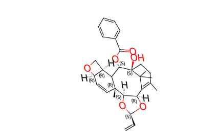 C=C[C@@H]1O[C@@H]2C3=C(C)CC[C@@](O)([C@@H](OC(=O)c4ccccc4)C4[C@@H]5CO[C@@H]5C=C[C@@]4(C)[C@@H]2O1)C3(C)C